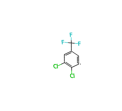 FC(F)(F)c1c[c]c(Cl)c(Cl)c1